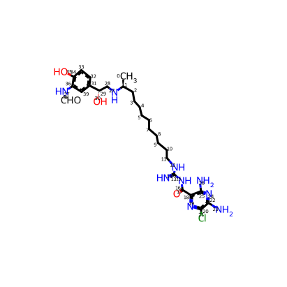 C[C@@H](CCCCCCCCCCNC(=N)NC(=O)c1nc(Cl)c(N)nc1N)NC[C@H](O)c1ccc(O)c(NC=O)c1